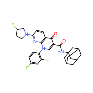 O=C(NC12CC3CC(CC(C3)C1)C2)c1cn(-c2ccc(F)cc2F)c2nc(N3CC[C@@H](F)C3)ccc2c1=O